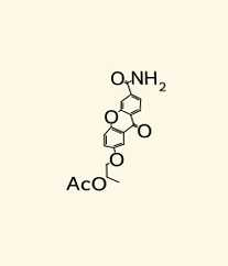 CC(=O)OC(C)COc1ccc2oc3cc(C(N)=O)ccc3c(=O)c2c1